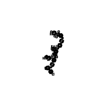 CC1(C)CCC(CN2CCN(c3ccc(C(=O)NS(=O)(=O)c4ccc(NC[C@H]5CC[C@H](N6CCN(Cc7ccc8c(c7)C(=O)N(C7CCC(=O)NC7=O)C8=O)CC6)CC5)c(S(=O)(=O)C(F)(F)F)c4)c(Oc4cnc5[nH]ccc5c4)c3)CC2)=C(c2ccc(Cl)cc2)C1